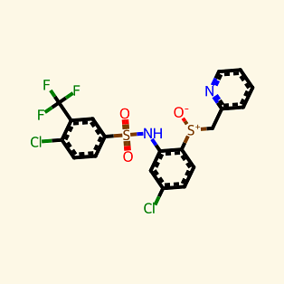 O=S(=O)(Nc1cc(Cl)ccc1[S+]([O-])Cc1ccccn1)c1ccc(Cl)c(C(F)(F)F)c1